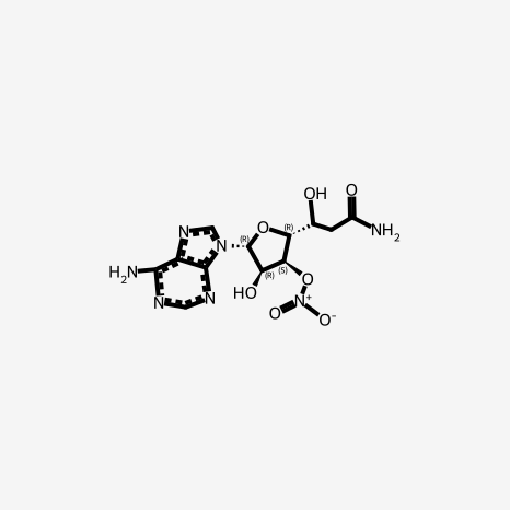 NC(=O)CC(O)[C@H]1O[C@@H](n2cnc3c(N)ncnc32)[C@H](O)[C@@H]1O[N+](=O)[O-]